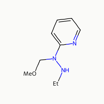 CCNN(COC)c1ccccn1